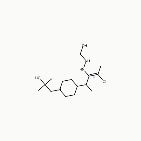 C/C(Cl)=C(\NNCO)C(C)C1CCN(CC(C)(C)O)CC1